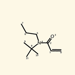 C=CC(=O)N(CCC)C(C)(C)C